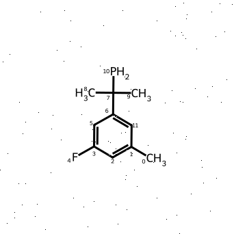 Cc1cc(F)cc(C(C)(C)P)c1